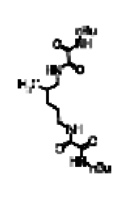 CCCCNC(=O)C(=O)NCCCC(C)CNC(=O)C(=O)NCCCC